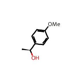 COc1ccc([C@H](C)O)cc1